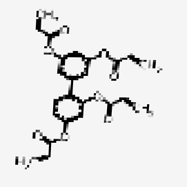 C=CC(=O)Oc1cc(OC(=O)C=C)cc(-c2ccc(OC(=O)C=C)cc2OC(=O)C=C)c1